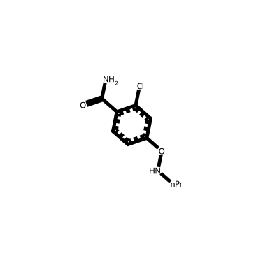 CCCNOc1ccc(C(N)=O)c(Cl)c1